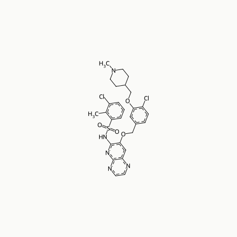 Cc1c(Cl)cccc1S(=O)(=O)Nc1nc2nccnc2cc1OCc1ccc(Cl)c(OCC2CCN(C)CC2)c1